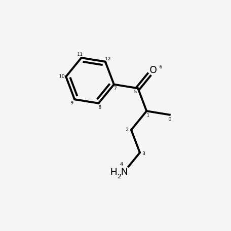 CC(CCN)C(=O)c1ccccc1